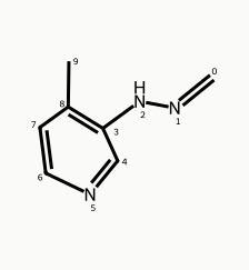 C=NNc1cnccc1C